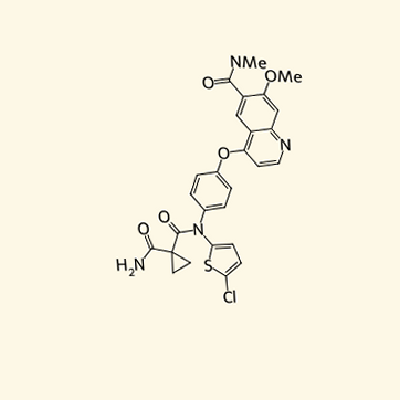 CNC(=O)c1cc2c(Oc3ccc(N(C(=O)C4(C(N)=O)CC4)c4ccc(Cl)s4)cc3)ccnc2cc1OC